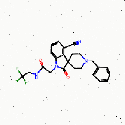 N#Cc1cccc2c1C1(CCN(Cc3ccccc3)CC1)C(=O)N2CC(=O)NCC(F)(F)F